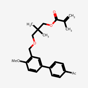 C=C(C)C(=O)OCC(C)(C)COCc1cc(-c2ccc(C(C)=O)cc2)ccc1OC